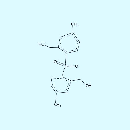 Cc1ccc(S(=O)(=O)c2ccc(C)cc2CO)c(CO)c1